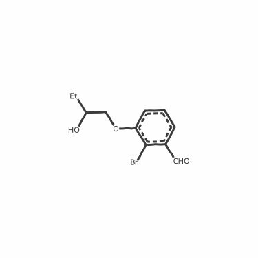 CCC(O)COc1cccc(C=O)c1Br